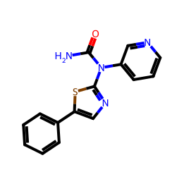 NC(=O)N(c1cccnc1)c1ncc(-c2ccccc2)s1